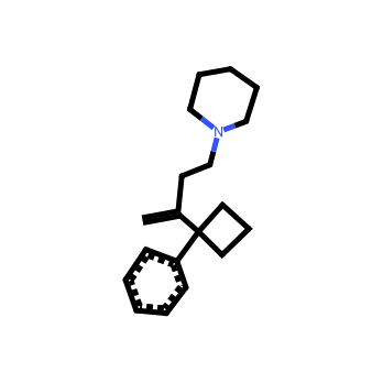 C=C(CCN1CCCCC1)C1(c2ccccc2)CCC1